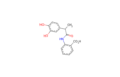 CC(C(=O)Nc1ccccc1C(=O)O)c1ccc(O)c(O)c1